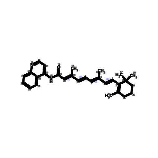 CC1=C(/C=C/C(C)=C/C=C/C(C)=C/C(=O)Nc2ccnc3ccccc23)C(C)(C)CCC1